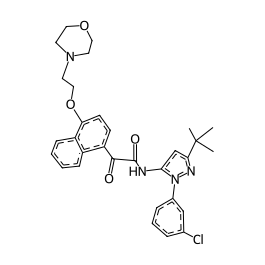 CC(C)(C)c1cc(NC(=O)C(=O)c2ccc(OCCN3CCOCC3)c3ccccc23)n(-c2cccc(Cl)c2)n1